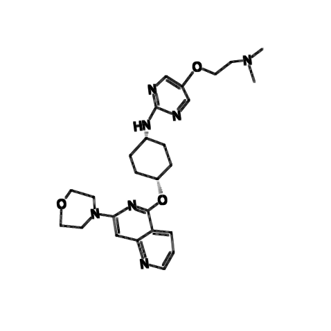 CN(C)CCOc1cnc(N[C@H]2CC[C@@H](Oc3nc(N4CCOCC4)cc4ncccc34)CC2)nc1